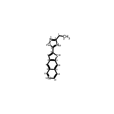 CCc1noc(-c2cc3cc4cnccc4cc3s2)n1